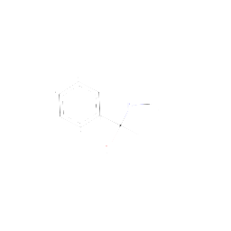 CCOC(=O)NC(C)(O)c1ccccc1